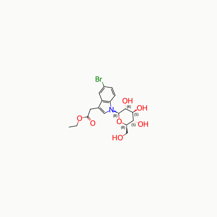 CCOC(=O)Cc1cn([C@@H]2O[C@H](CO)[C@@H](O)[C@H](O)[C@H]2O)c2ccc(Br)cc12